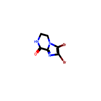 O=C1NCCn2c1nc(Br)c2Br